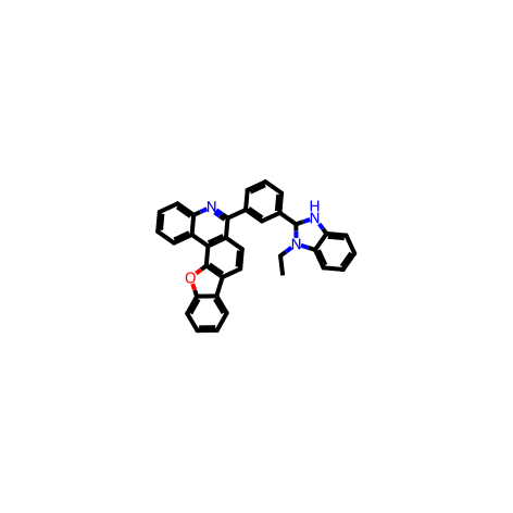 CCN1c2ccccc2NC1c1cccc(-c2nc3ccccc3c3c2ccc2c4ccccc4oc23)c1